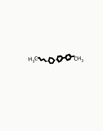 C=Cc1ccc(-c2ccc([C@H]3CC[C@H](CCCCC)CC3)cc2)cc1